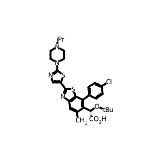 Cc1cc2nc(-c3cnc(N4CCN(C(C)C)CC4)s3)sc2c(-c2ccc(Cl)cc2)c1[C@H](OC(C)(C)C)C(=O)O